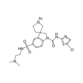 CC(=O)N1CCC2(C1)CN(C(=O)Nc1ncc(Cl)s1)c1ccc(S(=O)(=O)NCCN(C)C)cc12